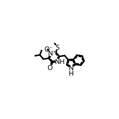 CSc1c(Cc2c[nH]c3ccccc23)[nH]c(=O)c(CC(C)C)[n+]1[O-]